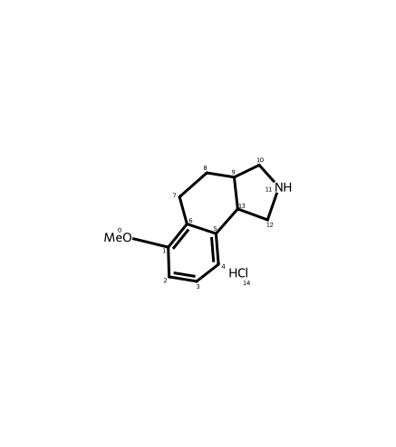 COc1cccc2c1CCC1CNCC21.Cl